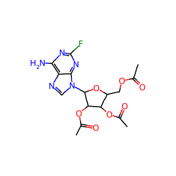 CC(=O)OCC1OC(n2cnc3c(N)nc(F)nc32)C(OC(C)=O)C1OC(C)=O